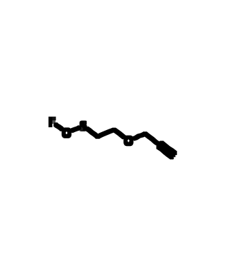 C#CCOCCSOF